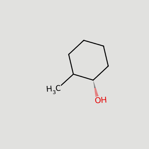 CC1CCCC[C@@H]1O